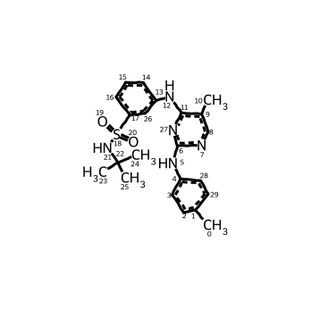 Cc1ccc(Nc2ncc(C)c(Nc3cccc(S(=O)(=O)NC(C)(C)C)c3)n2)cc1